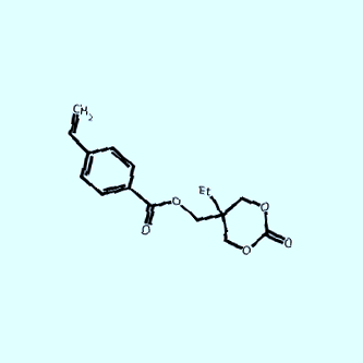 C=Cc1ccc(C(=O)OCC2(CC)COC(=O)OC2)cc1